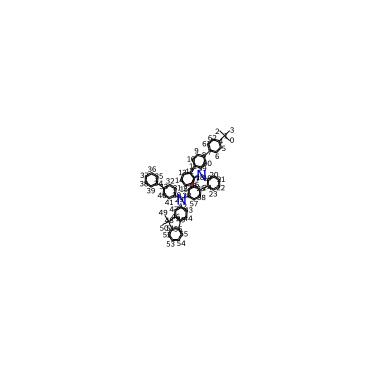 CC(C)(C)c1ccc(-c2ccc3c4ccccc4n(-c4ccccc4-c4ccc(N(c5ccc(-c6ccccc6)cc5)c5ccc6c(c5)C(C)(C)c5ccccc5-6)cc4)c3c2)cc1